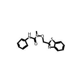 CN(OCc1nc2ccccc2s1)C(=O)Nc1ccccc1